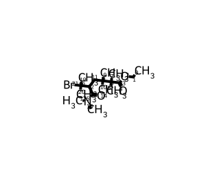 CCOC(=O)C(C)(C)C(C)(C)CC(C(=O)N(C)C)C(C)(C)Br